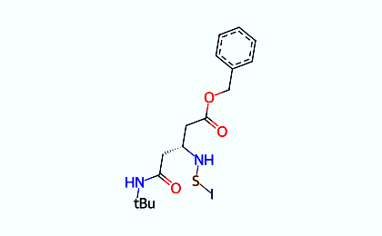 CC(C)(C)NC(=O)C[C@H](CC(=O)OCc1ccccc1)NSI